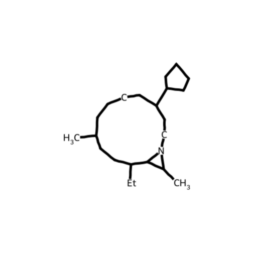 CCC1CCC(C)CCCCC(C2CCCC2)CCN2C(C)C12